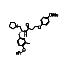 CCCOc1ccc(C[C@H](CN2CCCC2)NC(=O)CCOc2ccc(OC)cc2)cc1C